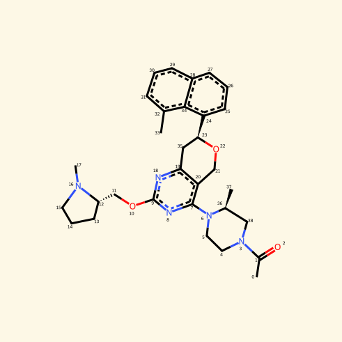 CC(=O)N1CCN(c2nc(OC[C@@H]3CCCN3C)nc3c2CO[C@H](c2cccc4cccc(C)c24)C3)[C@@H](C)C1